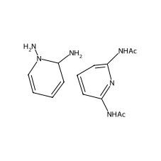 CC(=O)Nc1cccc(NC(C)=O)n1.NC1C=CC=CN1N